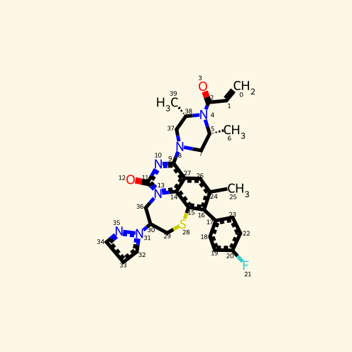 C=CC(=O)N1[C@H](C)CN(c2nc(=O)n3c4c(c(-c5ccc(F)cc5)c(C)cc24)SCC(n2cccn2)C3)C[C@@H]1C